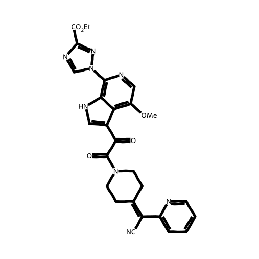 CCOC(=O)c1ncn(-c2ncc(OC)c3c(C(=O)C(=O)N4CCC(=C(C#N)c5ccccn5)CC4)c[nH]c23)n1